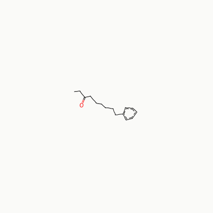 CCC(=O)CCCCCCc1ccccc1